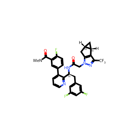 CNC(=O)c1cc(-c2cccnc2[C@H](Cc2cc(F)cc(F)c2)NC(=O)Cn2nc(C(F)(F)F)c3c2C[C@@H]2C[C@H]32)ccc1F